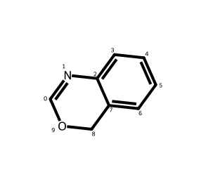 [C]1=Nc2ccccc2CO1